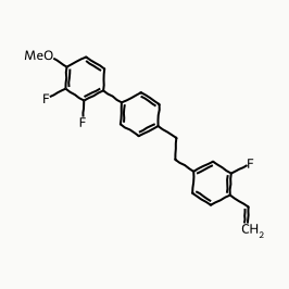 C=Cc1ccc(CCc2ccc(-c3ccc(OC)c(F)c3F)cc2)cc1F